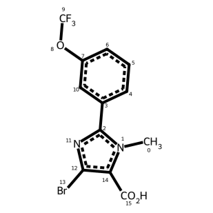 Cn1c(-c2cccc(OC(F)(F)F)c2)nc(Br)c1C(=O)O